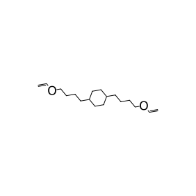 C=COCCCCC1CCC(CCCCOC=C)CC1